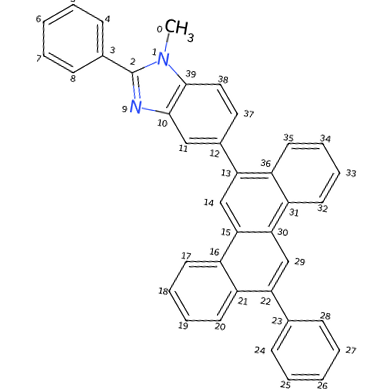 Cn1c(-c2ccccc2)nc2cc(-c3cc4c5ccccc5c(-c5ccccc5)cc4c4ccccc34)ccc21